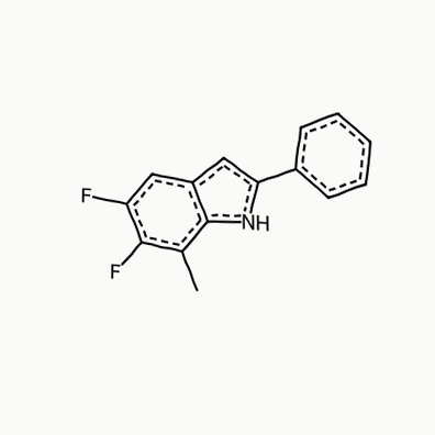 Cc1c(F)c(F)cc2cc(-c3ccccc3)[nH]c12